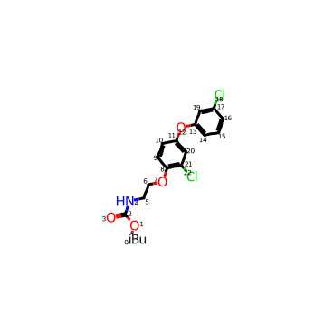 CCC(C)OC(=O)NCCOc1ccc(Oc2cccc(Cl)c2)cc1Cl